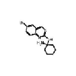 NC1(Nc2ncc3cc(Br)ccc3n2)CCCCC1